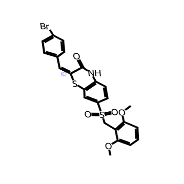 COc1cccc(OC)c1CS(=O)(=O)c1ccc2c(c1)S/C(=C/c1ccc(Br)cc1)C(=O)N2